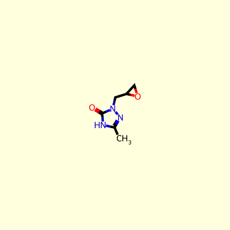 Cc1nn(CC2CO2)c(=O)[nH]1